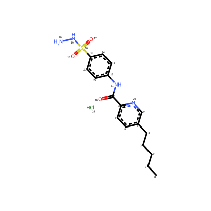 CCCCCc1ccc(C(=O)Nc2ccc(S(=O)(=O)NN)cc2)nc1.Cl